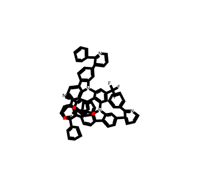 N#Cc1cccc(-c2c(-n3c4cc(-c5cccnc5-c5ccccc5)ccc4c4ccc(-c5cccnc5-c5ccccc5)cc43)cc(C(F)(F)F)cc2-n2c3cc(-c4cccnc4-c4ccccc4)ccc3c3ccc(-c4cccnc4-c4ccccc4)cc32)c1